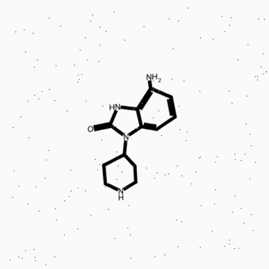 Nc1cccc2c1[nH]c(=O)n2C1CCNCC1